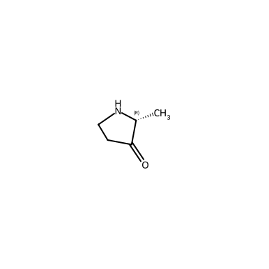 C[C@H]1NCCC1=O